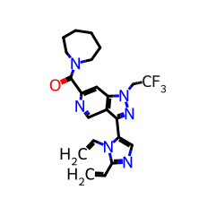 C=Cc1ncc(-c2nn(CC(F)(F)F)c3cc(C(=O)N4CCCCCC4)ncc23)n1C=C